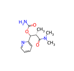 C[C@H](C(=O)N(C)C)C(OC(N)=O)c1ccccn1